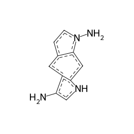 Nc1c[nH]c2cc3c(ccn3N)cc12